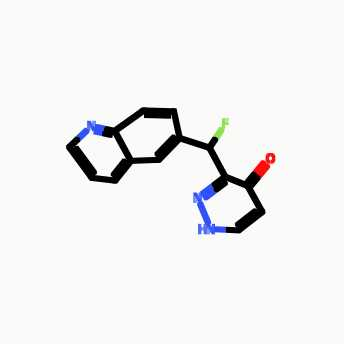 O=c1cc[nH]nc1C(F)c1ccc2ncccc2c1